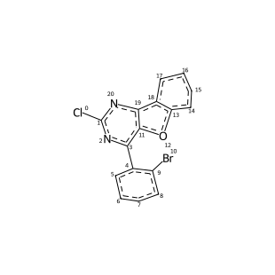 Clc1nc(-c2ccccc2Br)c2oc3ccccc3c2n1